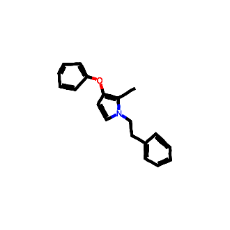 Cc1c(Oc2ccccc2)ccn1CCc1ccccc1